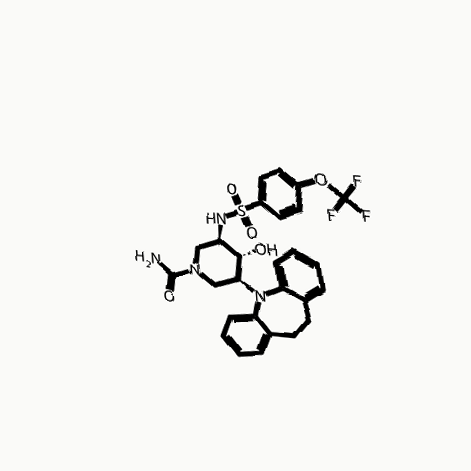 NC(=O)N1C[C@@H](NS(=O)(=O)c2ccc(OC(F)(F)F)cc2)[C@H](O)[C@@H](N2c3ccccc3CCc3ccccc32)C1